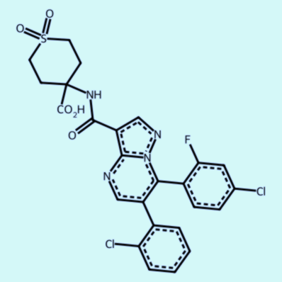 O=C(NC1(C(=O)O)CCS(=O)(=O)CC1)c1cnn2c(-c3ccc(Cl)cc3F)c(-c3ccccc3Cl)cnc12